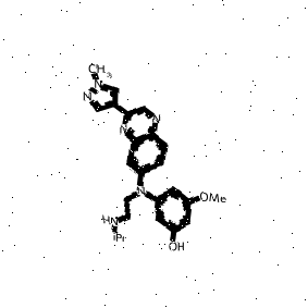 COc1cc(O)cc(N(CCNC(C)C)c2ccc3ncc(-c4cnn(C)c4)nc3c2)c1